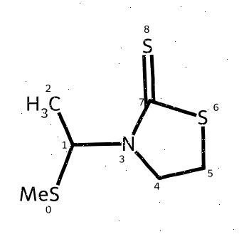 CSC(C)N1CCSC1=S